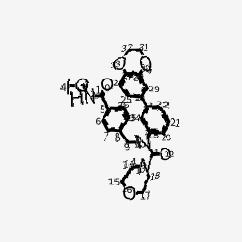 O=C(NOI)c1ccc(CN(C(=O)N2CCOCC2)c2cccc(-c3ccc4c(c3)OCCO4)c2)cc1